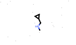 CNCC1[CH]C1